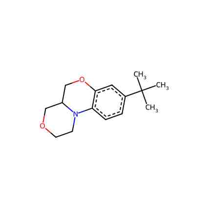 CC(C)(C)c1ccc2c(c1)OCC1COCCN21